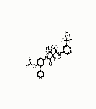 CC1=NN(c2ccc(OC(F)F)c(-c3ccncc3)c2)C(=O)C1(F)C(=O)Nc1cccc(C(C)(F)F)c1